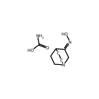 NC(=O)O.O/N=C1/CN2CCC1CC2